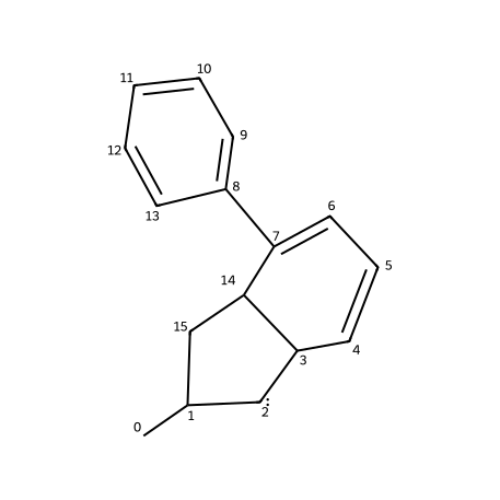 CC1[C]C2C=CC=C(c3ccccc3)C2C1